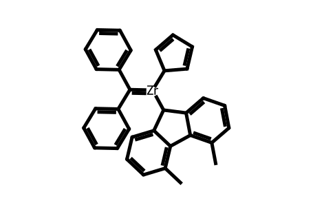 Cc1cccc2c1-c1c(C)cccc1[CH]2[Zr](=[C](c1ccccc1)c1ccccc1)[CH]1C=CC=C1